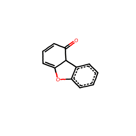 O=C1C=CC=C2Oc3ccccc3C12